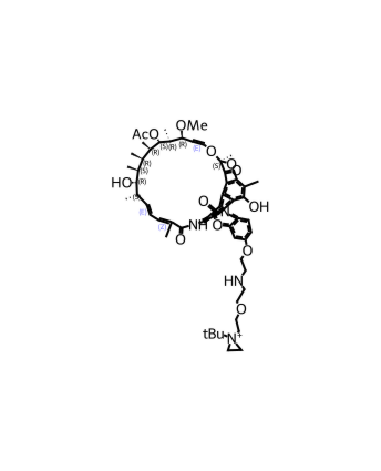 CO[C@H]1/C=C/O[C@@]2(C)Oc3c(C)c(O)c4c(=O)c(c5oc6cc(OCCNCCOCC[N+]7(C(C)(C)C)CC7)ccc6nc-5c4c3C2=O)NC(=O)/C(C)=C\C=C\[C@H](C)[C@H](O)[C@@H](C)[C@@H](C)[C@@H](C)[C@H](OC(C)=O)[C@@H]1C